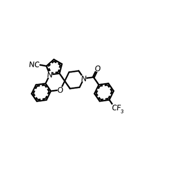 N#Cc1ccc2n1-c1ccccc1OC21CCN(C(=O)c2ccc(C(F)(F)F)cc2)CC1